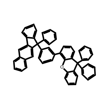 c1ccc(C2(c3cccc(-c4cccc5c4Oc4ccccc4C5(c4ccccc4)c4ccccc4)c3)c3ccccc3-c3cc4ccccc4cc32)cc1